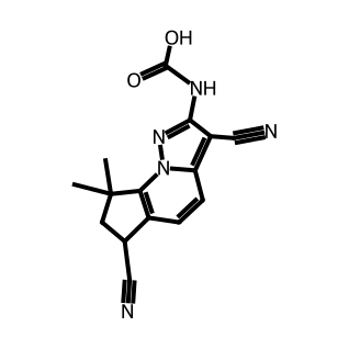 CC1(C)CC(C#N)c2ccc3c(C#N)c(NC(=O)O)nn3c21